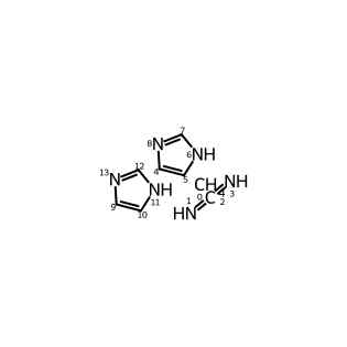 C.N=C=N.c1c[nH]cn1.c1c[nH]cn1